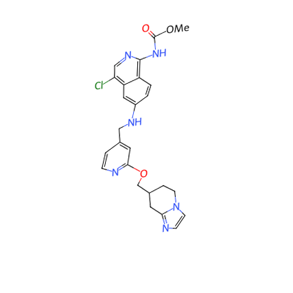 COC(=O)Nc1ncc(Cl)c2cc(NCc3ccnc(OCC4CCn5ccnc5C4)c3)ccc12